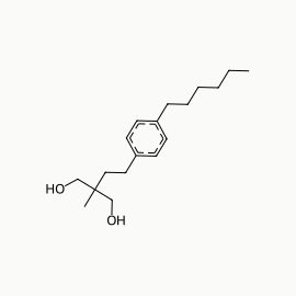 CCCCCCc1ccc(CCC(C)(CO)CO)cc1